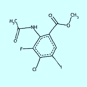 COC(=O)c1cc(I)c(Cl)c(F)c1NC(C)=O